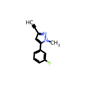 C#Cc1cc(-c2cccc(F)c2)n(C)n1